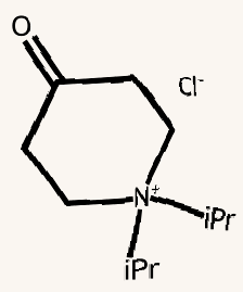 CC(C)[N+]1(C(C)C)CCC(=O)CC1.[Cl-]